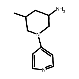 CC1CC(N)CN(c2ccncc2)C1